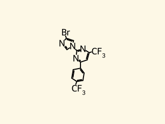 FC(F)(F)c1ccc(-c2cc(C(F)(F)F)nc(-n3cnc(Br)c3)n2)cc1